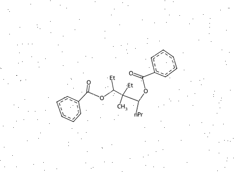 CCCC(OC(=O)c1ccccc1)C(C)(CC)C(CC)OC(=O)c1ccccc1